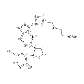 COCCOCc1cnn(-c2cnn3ccc(N4CCCC4c4cc(F)ccc4F)nc23)c1